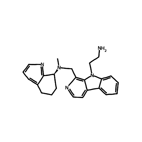 CN(Cc1nccc2c3ccccc3n(CCN)c12)[C@H]1CCCc2cccnc21